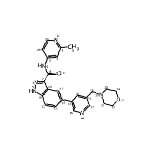 Cc1cc(NC(=O)c2n[nH]c3ccc(-c4cncc(CN5CCOCC5)c4)cc23)ccn1